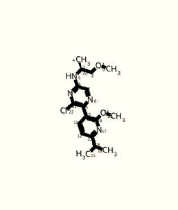 COC[C@H](C)Nc1cnc(-c2ccc(C(C)C)nc2OC)c(Cl)n1